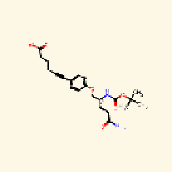 CC(C)(C)OC(=O)N[C@@H](CCC(N)=O)COc1ccc(C#CCCCC(=O)O)cc1